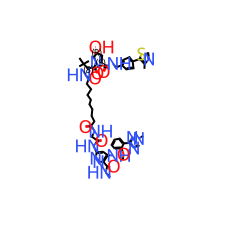 CNC(=O)c1nnc(NC(=O)CNC(=O)CCCCCCCCC(=O)N[C@H](C(=O)N2C[C@H](O)C[C@H]2C(=O)NCc2ccc(-c3scnc3C)cc2)C(C)(C)C)cc1Nc1cccc(-c2ncn(C)n2)c1OC